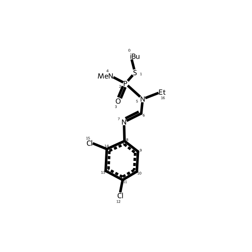 CCC(C)SP(=O)(NC)N(C=Nc1ccc(Cl)cc1Cl)CC